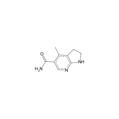 Cc1c(C(N)=O)cnc2c1CCN2